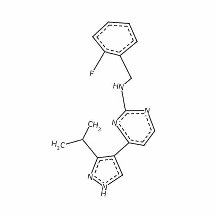 CC(C)c1n[nH]cc1-c1ccnc(NCc2ccccc2F)n1